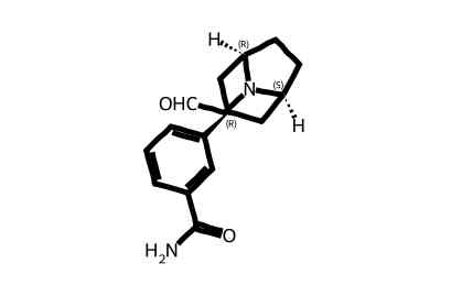 NC(=O)c1cccc([C@H]2C[C@H]3CC[C@@H](C2)N3CC=O)c1